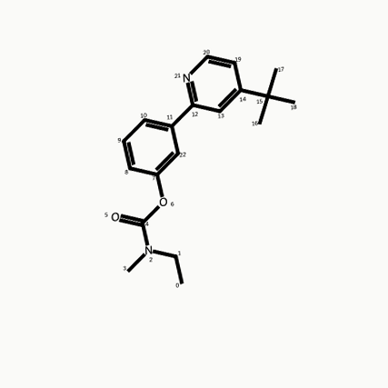 CCN(C)C(=O)Oc1cccc(-c2cc(C(C)(C)C)ccn2)c1